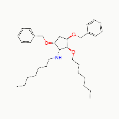 CCCCCCCN[C@H]1[C@H](OCCCCCCC)[C@H](OCc2ccccc2)C[C@@H]1OCc1ccccc1